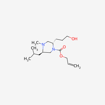 C=CCOC(=O)N1C[C@@H](CC(C)C)N(C)C[C@@H]1CCCO